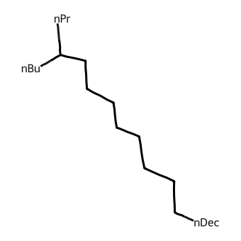 [CH2]CCC(CCCC)CCCCCCCCCCCCCCCCCC